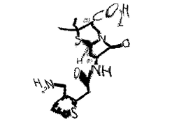 CC1(C)S[C@@H]2[C@H](NC(=O)Cc3sccc3CN)C(=O)N2[C@H]1C(=O)O